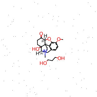 COc1ccc2c3c1O[C@H]1C(=O)CC[C@@]4(O)[C@@H](C2)N(C)CC[C@]314.OCCCO